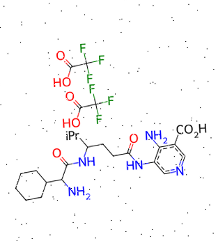 CC(C)C(CCC(=O)Nc1cncc(C(=O)O)c1N)NC(=O)C(N)C1CCCCC1.O=C(O)C(F)(F)F.O=C(O)C(F)(F)F